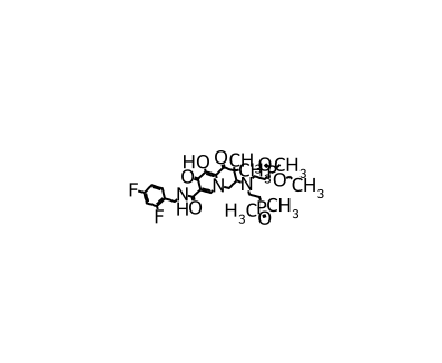 CCOP(C)(=O)CCN(CCP(C)(C)=O)C1Cn2cc(C(=O)NCc3ccc(F)cc3F)c(=O)c(O)c2C(=O)C1(C)C